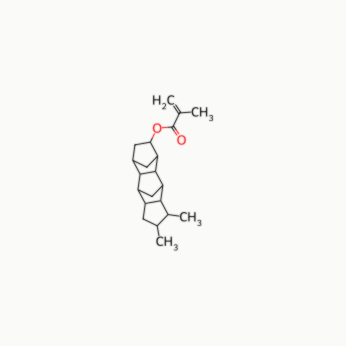 C=C(C)C(=O)OC1CC2CC1C1C3CC(C4CC(C)C(C)C43)C21